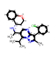 Cc1nn2c(C(C)C)c(C(C)N[C@H]3CCOc4ccccc43)cnc2c1-c1ccccc1Cl